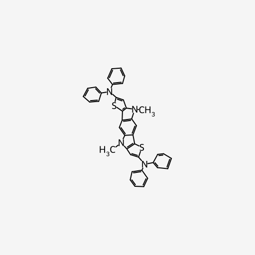 Cn1c2cc3c4sc(N(c5ccccc5)c5ccccc5)cc4n(C)c3cc2c2sc(N(c3ccccc3)c3ccccc3)cc21